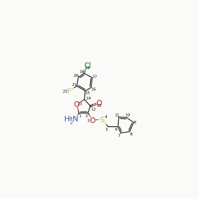 NC1=C(OSCc2ccccc2)C(=O)C(c2ccc(Cl)cc2F)O1